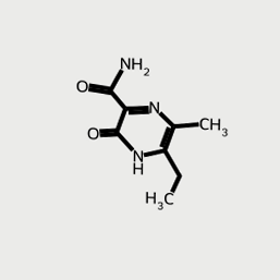 CCc1[nH]c(=O)c(C(N)=O)nc1C